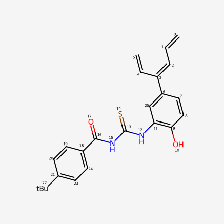 C=C/C=C(\C=C)c1ccc(O)c(NC(=S)NC(=O)c2ccc(C(C)(C)C)cc2)c1